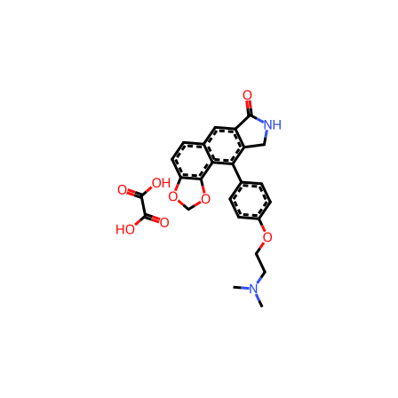 CN(C)CCOc1ccc(-c2c3c(cc4ccc5c(c24)OCO5)C(=O)NC3)cc1.O=C(O)C(=O)O